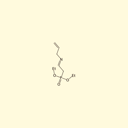 C=CCN=CCP(=O)(OCC)OCC